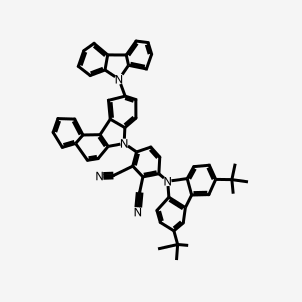 CC(C)(C)c1ccc2c(c1)c1cc(C(C)(C)C)ccc1n2-c1ccc(-n2c3ccc(-n4c5ccccc5c5ccccc54)cc3c3c4ccccc4ccc32)c(C#N)c1C#N